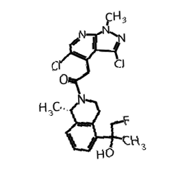 C[C@H]1c2cccc(C(C)(O)CF)c2CCN1C(=O)Cc1c(Cl)cnc2c1c(Cl)nn2C